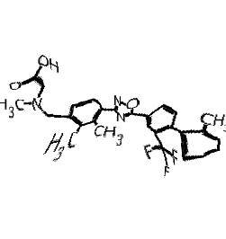 Cc1ccccc1-c1ccc(-c2nc(-c3ccc(CN(C)CC(=O)O)c(C)c3C)no2)cc1C(F)(F)F